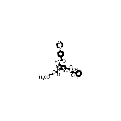 COCCOC(=O)n1nc(NC(=O)c2ccc(N3CCOCC3)cc2)c2cc(C(=O)NC(C)(C)c3ccccc3)sc21